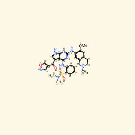 COc1cc2c(cc1Nc1nc(Nc3ccccc3S(=O)(=O)N(C)C)c3c(C(=O)c4cnoc4)c[nH]c3n1)CN(C)CC2